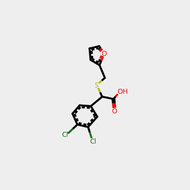 O=C(O)C(SCc1ccco1)c1ccc(Cl)c(Cl)c1